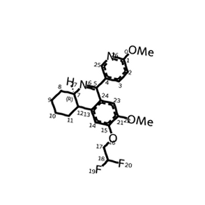 COc1ccc(C2=N[C@@H]3CCCCC3c3cc(OCC(F)F)c(OC)cc32)cn1